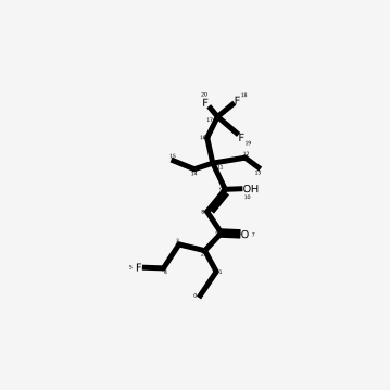 CCC(CCF)C(=O)/C=C(\O)C(CC)(CC)CC(F)(F)F